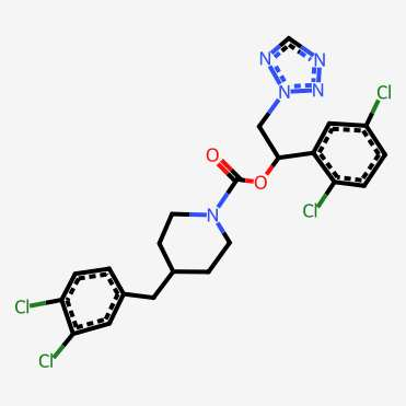 O=C(OC(Cn1ncnn1)c1cc(Cl)ccc1Cl)N1CCC(Cc2ccc(Cl)c(Cl)c2)CC1